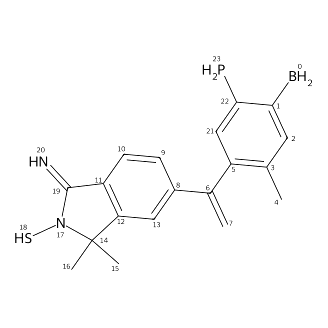 Bc1cc(C)c(C(=C)c2ccc3c(c2)C(C)(C)N(S)C3=N)cc1P